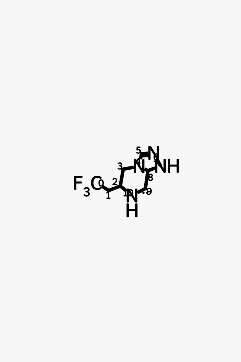 FC(F)(F)CC1CN2C=NNC2[C]N1